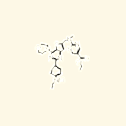 CCNc1ccc(-c2nc(N3CCOCC3)c3sc(CN(C)c4ncc(C(=O)OCC)cn4)cc3n2)cc1